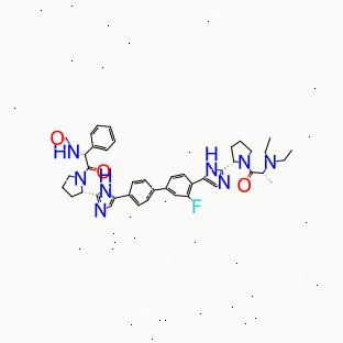 CCN(CC)[C@H](C)C(=O)N1CCC[C@H]1c1ncc(-c2ccc(-c3ccc(-c4cnc([C@@H]5CCCN5C(=O)[C@H](NC=O)c5ccccc5)[nH]4)cc3)cc2F)[nH]1